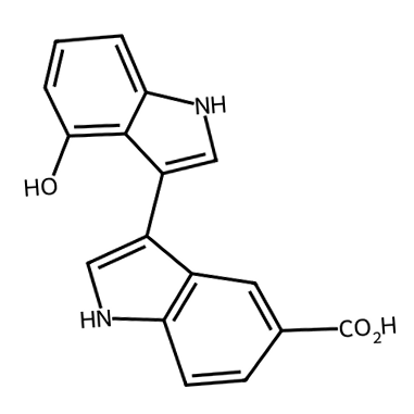 O=C(O)c1ccc2[nH]cc(-c3c[nH]c4cccc(O)c34)c2c1